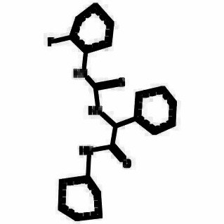 O=C(Nc1ccccc1)C(NC(=S)Nc1ccccc1F)c1ccccc1